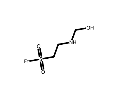 CCS(=O)(=O)CCNCO